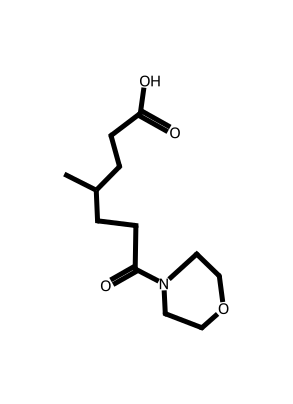 CC(CCC(=O)O)CCC(=O)N1CCOCC1